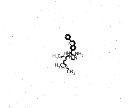 CCC[C@@H](CC[C@H](C)CNCC)C1NC(c2ccc3ccc(-c4ccccc4)nc3c2)=C2C(N)=NC=CN21